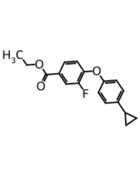 CCOC(=O)c1ccc(Oc2ccc(C3CC3)cc2)c(F)c1